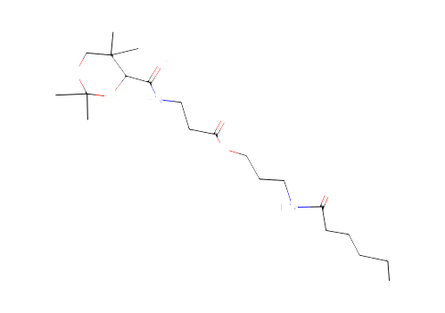 CCCCCC(=O)NCCCOC(=O)CCNC(=O)C1OC(C)(C)OCC1(C)C